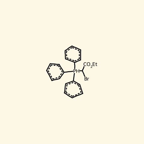 CCOC(=O)C(Br)[PH](c1ccccc1)(c1ccccc1)c1ccccc1